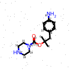 CC(C)(Cc1ccc(N)cc1)OC(=O)N1CCNCC1